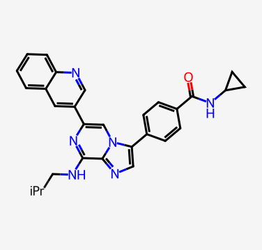 CC(C)CNc1nc(-c2cnc3ccccc3c2)cn2c(-c3ccc(C(=O)NC4CC4)cc3)cnc12